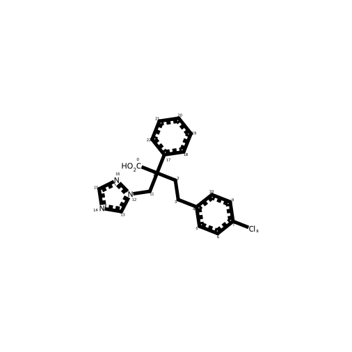 O=C(O)C(CCc1ccc(Cl)cc1)(Cn1cncn1)c1ccccc1